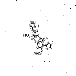 CSCC(=O)N(c1cccs1)C1C(=O)N2CC(C(=O)O)(C(C)Sc3nnn[nH]3)CS[C@H]12